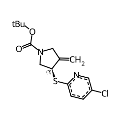 C=C1CN(C(=O)OC(C)(C)C)C[C@@H]1Sc1ccc(Cl)cn1